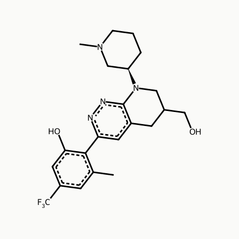 Cc1cc(C(F)(F)F)cc(O)c1-c1cc2c(nn1)N([C@@H]1CCCN(C)C1)CC(CO)C2